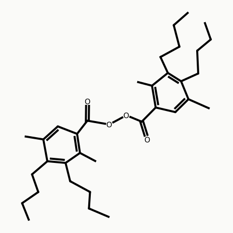 CCCCc1c(C)cc(C(=O)OOC(=O)c2cc(C)c(CCCC)c(CCCC)c2C)c(C)c1CCCC